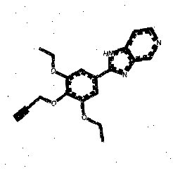 C#CCOc1c(OCC)cc(-c2nc3cnccc3[nH]2)cc1OCC